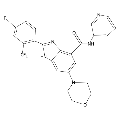 O=C(Nc1cccnc1)c1cc(N2CCOCC2)cc2[nH]c(-c3ccc(F)cc3C(F)(F)F)nc12